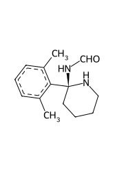 Cc1cccc(C)c1[C@@]1(NC=O)CCCCN1